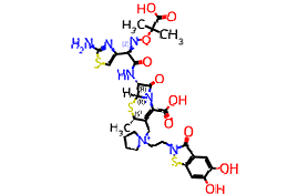 C[C@@H]1S[C@@H]2[C@H](NC(=O)/C(=N\OC(C)(C)C(=O)O)c3csc(N)n3)C(=O)N2C(C(=O)O)=C1C[N+]1(CCn2sc3cc(O)c(O)cc3c2=O)CCCC1